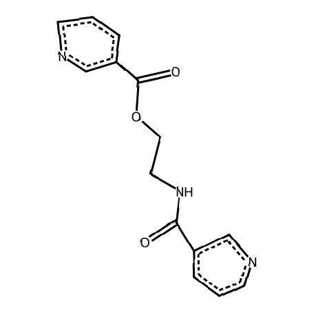 O=C(NCCOC(=O)c1cccnc1)c1cccnc1